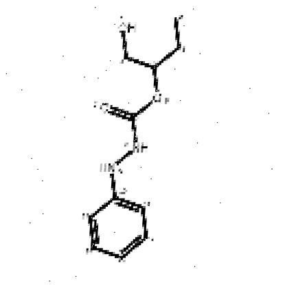 CCC(CO)OC(=O)NNc1ccccc1